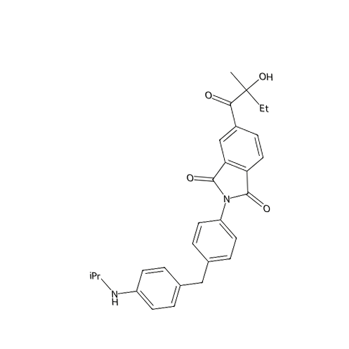 CCC(C)(O)C(=O)c1ccc2c(c1)C(=O)N(c1ccc(Cc3ccc(NC(C)C)cc3)cc1)C2=O